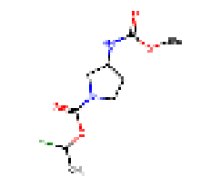 CC(Cl)OC(=O)N1CCC(NC(=O)OC(C)(C)C)C1